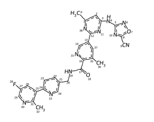 Cc1cc(Nc2noc(C#N)n2)nc(-c2cnc(C(=O)NCc3ccc(-c4cc(F)cnc4C)nc3)c(C)c2)n1